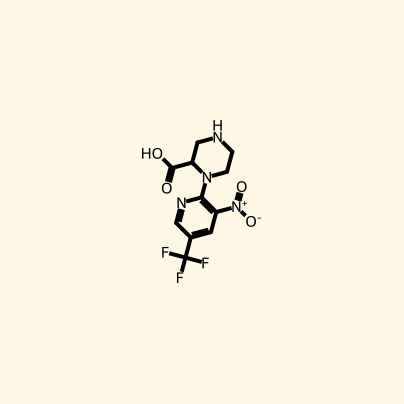 O=C(O)C1CNCCN1c1ncc(C(F)(F)F)cc1[N+](=O)[O-]